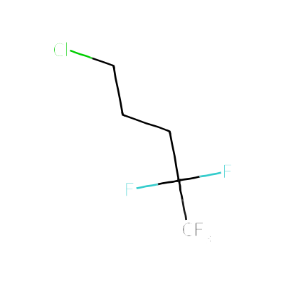 FC(F)(F)C(F)(F)CCCCl